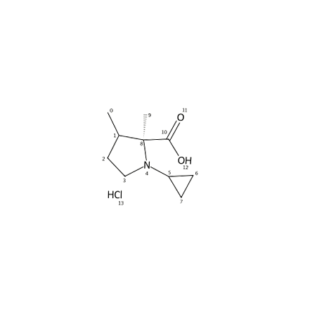 CC1CCN(C2CC2)[C@]1(C)C(=O)O.Cl